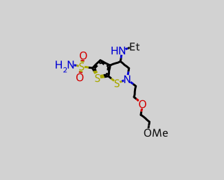 CCNC1CN(CCOCCOC)Sc2sc(S(N)(=O)=O)cc21